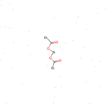 CCC(=O)O[Si]OC(=O)CC